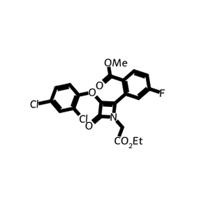 CCOC(=O)CN1C(=O)C(Oc2ccc(Cl)cc2Cl)=C1c1cc(F)ccc1C(=O)OC